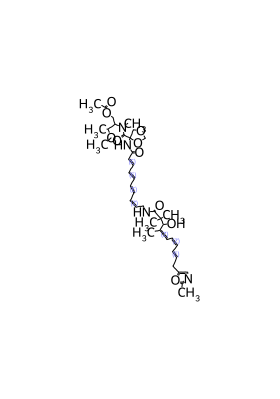 COC(C)C(COC(C)=O)N(C)C(=O)C1(NC(=O)/C=C/C=C/C=C/C=C\CNC(=O)C(C)(C)C(O)\C(C)=C/C=C\C=C\Cc2cnc(C)o2)COCO1